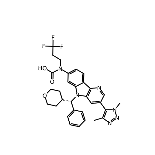 Cc1nnn(C)c1-c1cnc2c3ccc(N(CCC(F)(F)F)C(=O)O)cc3n([C@H](c3ccccc3)C3CCOCC3)c2c1